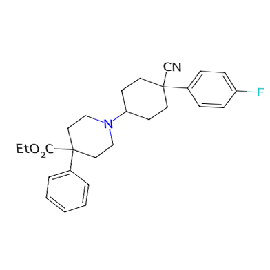 CCOC(=O)C1(c2ccccc2)CCN(C2CCC(C#N)(c3ccc(F)cc3)CC2)CC1